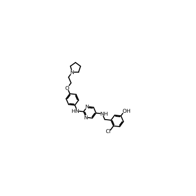 Oc1ccc(Cl)c(CNc2cnc(Nc3ccc(OCCN4CCCC4)cc3)nc2)c1